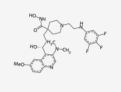 COc1ccc2ncc(N(C)C)c([C@H](O)CCC3(C(=O)NO)CCN(CCNc4cc(F)c(F)c(F)c4)CC3)c2c1